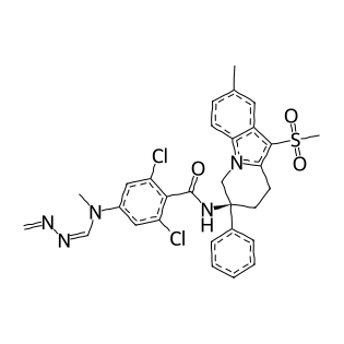 C=N/N=C\N(C)c1cc(Cl)c(C(=O)N[C@]2(c3ccccc3)CCc3c(S(C)(=O)=O)c4cc(C)ccc4n3C2)c(Cl)c1